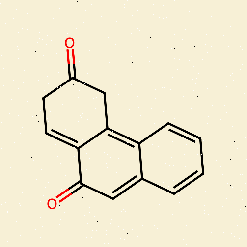 O=C1CC=C2C(=O)C=c3ccccc3=C2C1